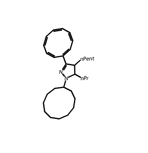 CCCCCC1C(c2ccccccccc2)=NN(C2CCCCCCCCCC2)C1CCC